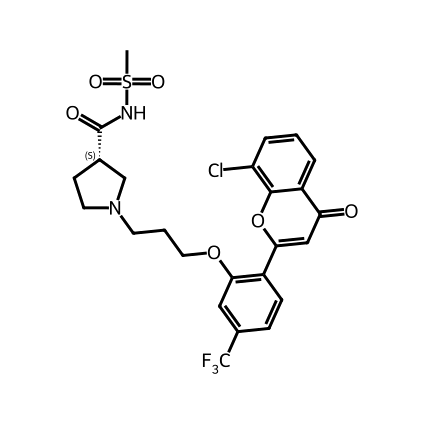 CS(=O)(=O)NC(=O)[C@H]1CCN(CCCOc2cc(C(F)(F)F)ccc2-c2cc(=O)c3cccc(Cl)c3o2)C1